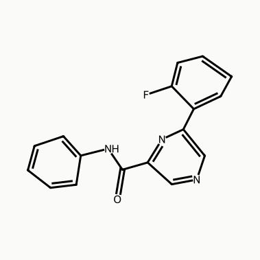 O=C(Nc1ccccc1)c1cncc(-c2ccccc2F)n1